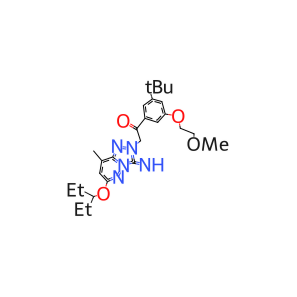 CCC(CC)Oc1cc(C)c2nn(CC(=O)c3cc(OCCOC)cc(C(C)(C)C)c3)c(=N)n2n1